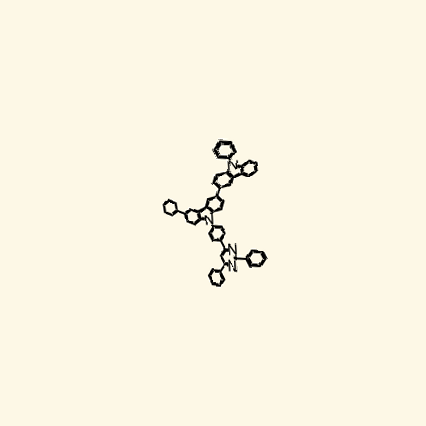 c1ccc(-c2ccc3c(c2)c2cc(-c4ccc5c(c4)c4ccccc4n5-c4ccccc4)ccc2n3-c2ccc(-c3cc(-c4ccccc4)nc(-c4ccccc4)n3)cc2)cc1